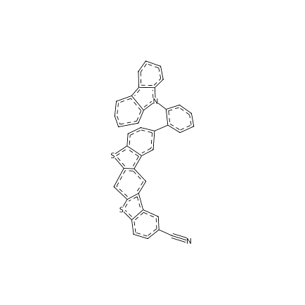 N#Cc1ccc2sc3cc4sc5ccc(-c6ccccc6-n6c7ccccc7c7ccccc76)cc5c4cc3c2c1